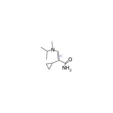 CC(C)N(C)/C=C(/C(N)=O)C1CC1